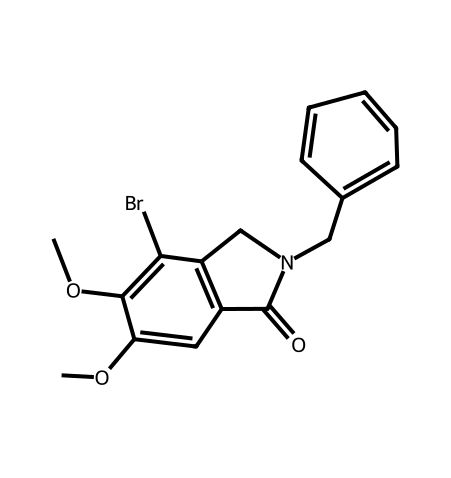 COc1cc2c(c(Br)c1OC)CN(Cc1ccccc1)C2=O